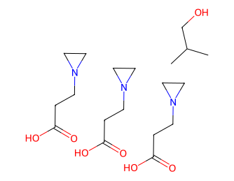 CC(C)CO.O=C(O)CCN1CC1.O=C(O)CCN1CC1.O=C(O)CCN1CC1